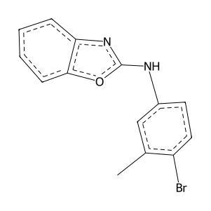 Cc1cc(Nc2nc3ccccc3o2)ccc1Br